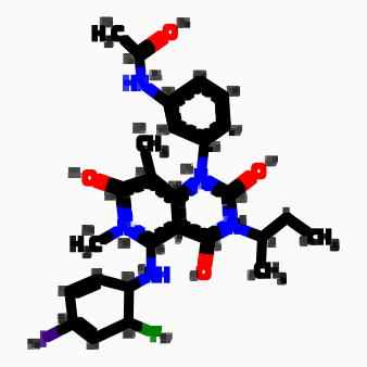 CCC(C)n1c(=O)c2c(NC3C=CC(I)=CC3F)n(C)c(=O)c(C)c2n(-c2cccc(NC(C)=O)c2)c1=O